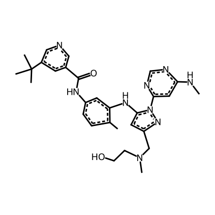 CNc1cc(-n2nc(CN(C)CCO)cc2Nc2cc(NC(=O)c3cncc(C(C)(C)C)c3)ccc2C)ncn1